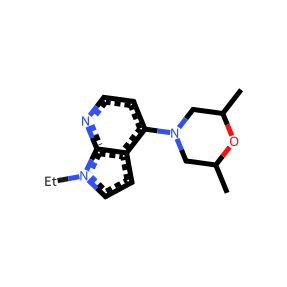 CCn1ccc2c(N3CC(C)OC(C)C3)ccnc21